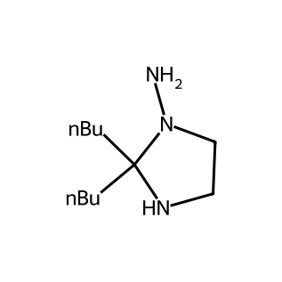 CCCCC1(CCCC)NCCN1N